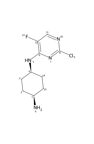 N[C@H]1CC[C@@H](Nc2nc(Cl)ncc2F)CC1